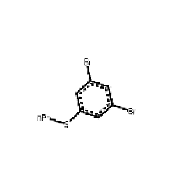 CCCSc1cc(Br)[c]c(Br)c1